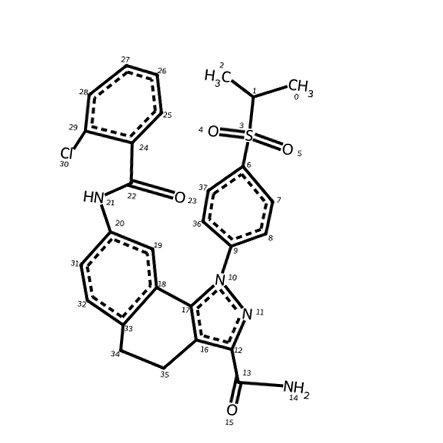 CC(C)S(=O)(=O)c1ccc(-n2nc(C(N)=O)c3c2-c2cc(NC(=O)c4ccccc4Cl)ccc2CC3)cc1